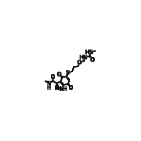 CNC(=O)NCOCCCSC1=CC(=O)c2[nH]nc(C(=O)NC)c2C1=O